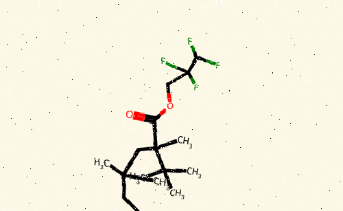 CCC(C)(C)CC(C)(C(=O)OCC(F)(F)C(F)F)C(C)(C)C